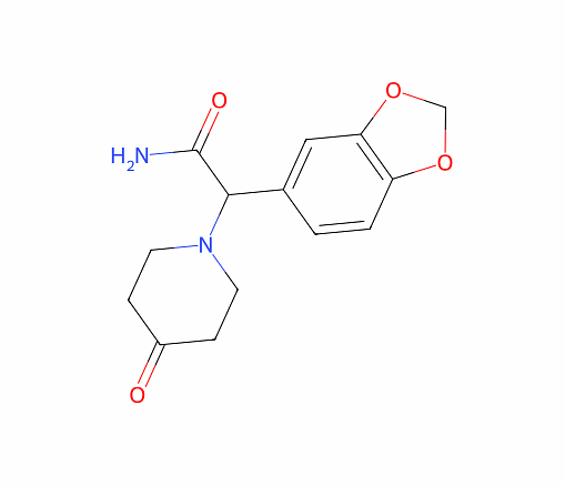 NC(=O)C(c1ccc2c(c1)OCO2)N1CCC(=O)CC1